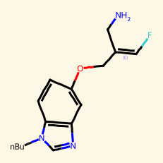 CCCCn1cnc2cc(OC/C(=C/F)CN)ccc21